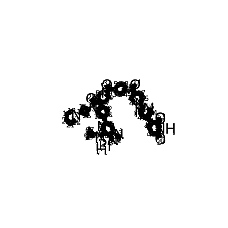 CC(C)n1cnc2cc(-c3ccc4c(c3)N([C@H]3C[C@@H](N5CCCCC5)C3)C(=O)C43CCN(C(=O)C4CCN(C(=O)C5CCN(c6ncc(C7CCC(=O)NC7=O)cn6)CC5)CC4)CC3)nc(NC3CC3)c21